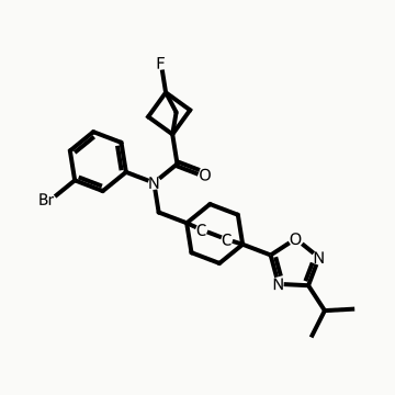 CC(C)c1noc(C23CCC(CN(C(=O)C45CC(F)(C4)C5)c4cccc(Br)c4)(CC2)CC3)n1